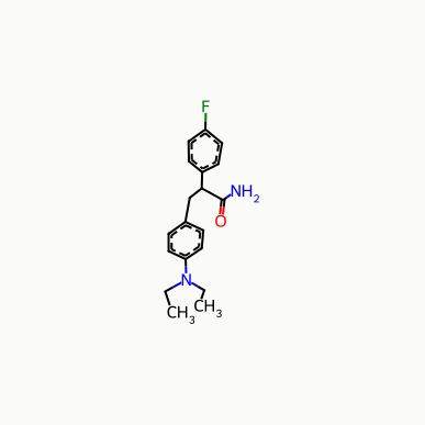 CCN(CC)c1ccc(CC(C(N)=O)c2ccc(F)cc2)cc1